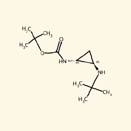 CC(C)(C)N[C@@H]1C[C@H]1NC(=O)OC(C)(C)C